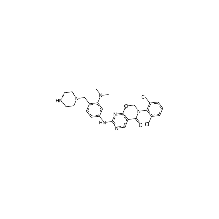 CN(C)c1cc(Nc2ncc3c(n2)OCN(c2c(Cl)cccc2Cl)C3=O)ccc1CN1CCNCC1